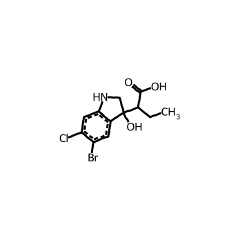 CCC(C(=O)O)C1(O)CNc2cc(Cl)c(Br)cc21